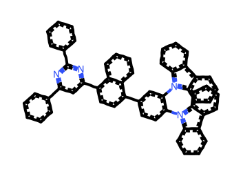 c1ccc(-c2cc(-c3ccc(-c4ccc(-n5c6ccccc6c6ccccc65)c(-n5c6ccccc6c6ccccc65)c4)c4ccccc34)nc(-c3ccccc3)n2)cc1